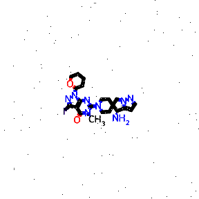 Cn1c(N2CCC3(CC2)Cn2nccc2[C@H]3N)nc2c(c(I)nn2C2CCCCO2)c1=O